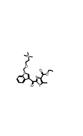 CCOC(=O)c1nc(C(=O)c2cn(COCC[Si](C)(C)C)c3ccccc23)sc1C